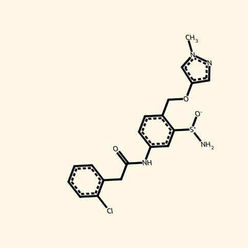 Cn1cc(OCc2ccc(NC(=O)Cc3ccccc3Cl)cc2[S+](N)[O-])cn1